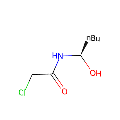 CCCC[C@@H](O)NC(=O)CCl